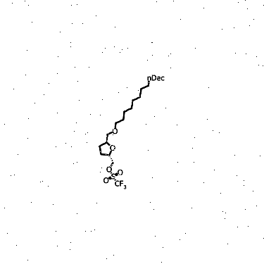 CCCCCCCCCCCCCCCCCCOC[C@@H]1CC[C@@H](COS(=O)(=O)C(F)(F)F)O1